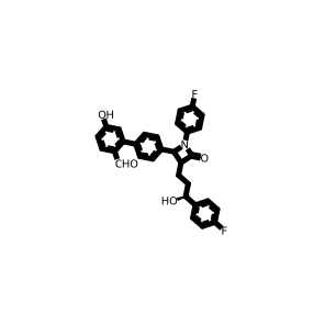 O=Cc1ccc(O)cc1-c1ccc(C2C(CC[C@H](O)c3ccc(F)cc3)C(=O)N2c2ccc(F)cc2)cc1